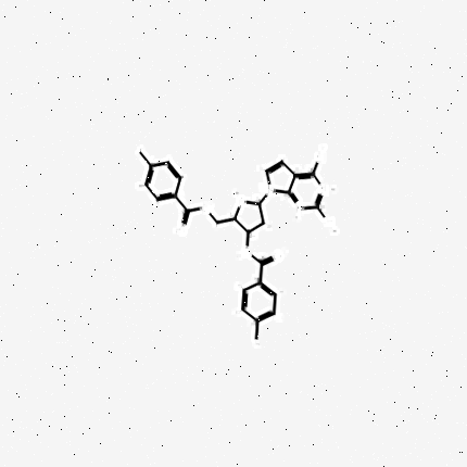 Cc1ccc(C(=O)OCC2OC(n3ccc4c(Cl)nc(Cl)nc43)CC2OC(=O)c2ccc(C)cc2)cc1